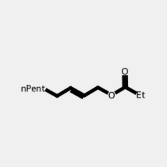 CCCCCC/C=C/COC(=O)CC